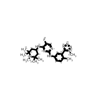 Cc1ccc(Nc2ncc(F)c(NC3CC(C)(C)N(C)C(C)(C)C3)n2)cc1-c1nnnn1C